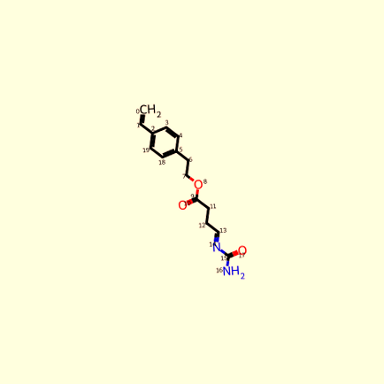 C=Cc1ccc(CCOC(=O)CCC=NC(N)=O)cc1